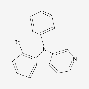 Brc1cccc2c3ccncc3n(-c3ccccc3)c12